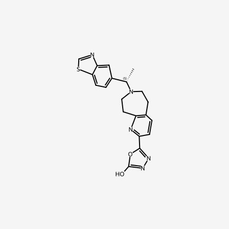 C[C@@H](c1ccc2scnc2c1)N1CCc2ccc(-c3nnc(O)o3)nc2CC1